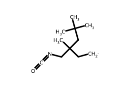 [CH2]CC(C)(CN=C=O)CC(C)(C)C